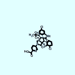 CC(C)(C)C[C@@H]1N2CN(c3ccc(C(=O)O)nc3)C(=O)[C@H]2[C@H](c2cccc(Cl)c2F)[C@]12C(=O)Nc1cc(Cl)ccc12